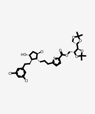 CC1(C)OC[C@@H]([C@H]2OC(C)(C)O[C@@H]2COC(=O)c2ccc(CCC[C@@H]3[C@@H](CCc4cc(Cl)cc(Cl)c4)[C@H](O)C[C@H]3Cl)s2)O1